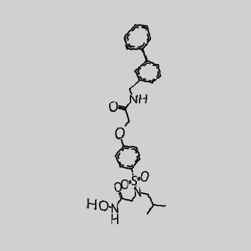 CC(C)CN(CC(=O)NO)S(=O)(=O)c1ccc(OCC(=O)NCc2cccc(-c3ccccc3)c2)cc1